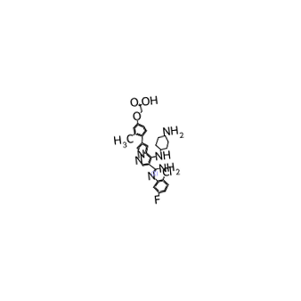 Cc1cc(OCC(=O)O)ccc1-c1cc2c(N[C@H]3CC[C@H](N)CC3)c(/C(N)=N/c3cc(F)ccc3Cl)cnn2c1